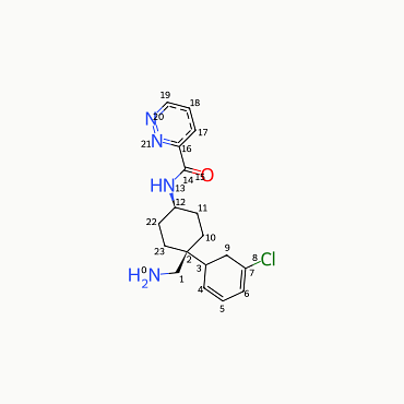 NC[C@]1(C2C=CC=C(Cl)C2)CC[C@H](NC(=O)c2cccnn2)CC1